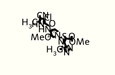 COC(=O)c1sc(N2CC[C@@H](NC(=O)c3[nH]c(C)c(C#N)c3Cl)[C@@H](OC)C2)nc1-c1ncnn1C